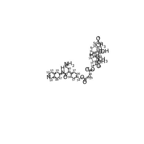 C[C@]12C=CC(=O)C=C1CC[C@@H]1[C@@H]2[C@@H](O)C[C@@]2(C)[C@H]1CC[C@]2(O)C(=O)COC(=O)C1CC1C(=O)OCc1ccc(C(CCN)C(=O)Nc2ccc3cnccc3c2)cc1